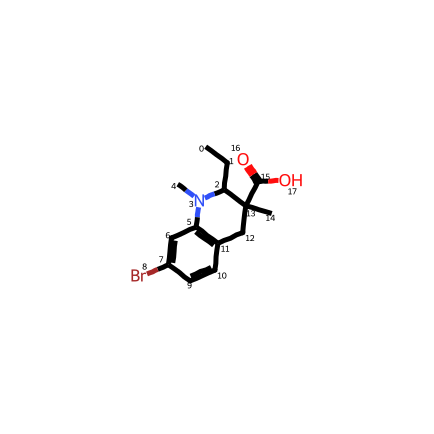 CCC1N(C)c2cc(Br)ccc2CC1(C)C(=O)O